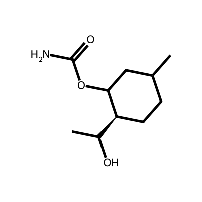 CC1CC[C@@H](C(C)O)C(OC(N)=O)C1